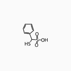 O=S(=O)(O)C(S)c1ccccc1